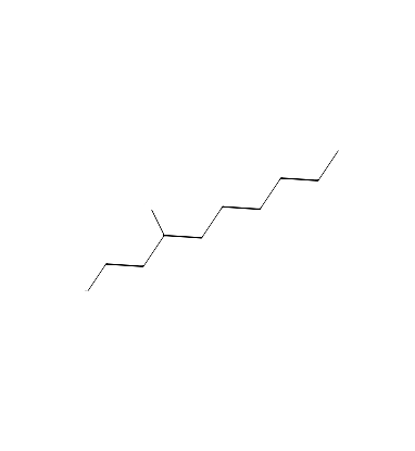 CCCCCCC([O])CCCl